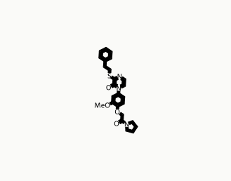 COc1cc(-n2ccnc(SCCc3ccccc3)c2=O)ccc1OCC(=O)N1CCCC1